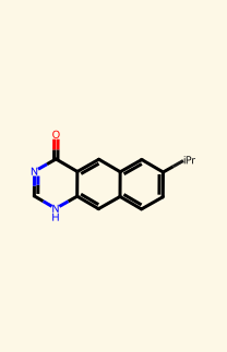 CC(C)c1ccc2cc3[nH]cnc(=O)c3cc2c1